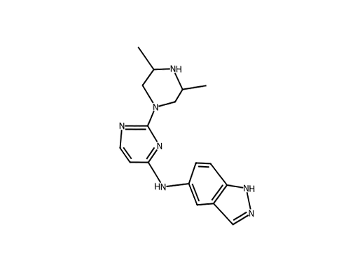 CC1CN(c2nccc(Nc3ccc4[nH]ncc4c3)n2)CC(C)N1